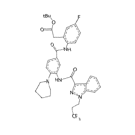 CC(C)(C)OC(=O)Cc1cc(F)ccc1NC(=O)c1ccc(N2CCCCC2)c(NC(=O)c2nn(CCC(F)(F)F)c3ccccc23)c1